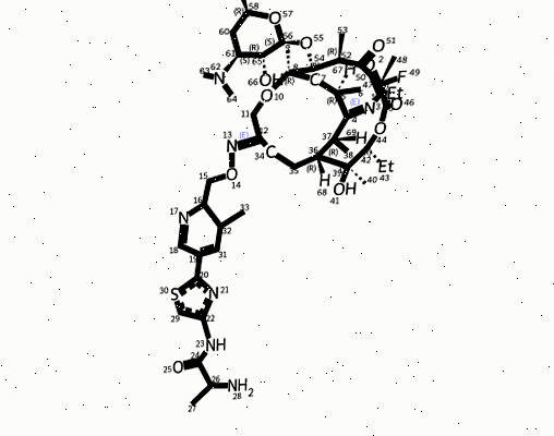 CCC(=O)/N=C1\[C@H](C)C[C@@]2(C)OC/C(=N/OCC3N=CC(c4nc(NC(=O)C(C)N)cs4)=CC3C)CC[C@H]([C@H]1C)[C@](C)(O)[C@@H](CC)OC(=O)[C@@](C)(F)C(=O)[C@H](C)[C@H]2O[C@@H]1O[C@H](C)C[C@H](N(C)C)[C@H]1O